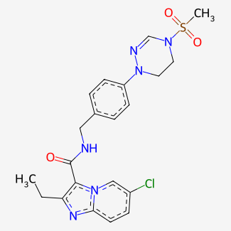 CCc1nc2ccc(Cl)cn2c1C(=O)NCc1ccc(N2CCN(S(C)(=O)=O)C=N2)cc1